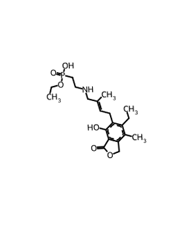 CCOP(=O)(O)CCNC/C(C)=C/Cc1c(O)c2c(c(C)c1CC)COC2=O